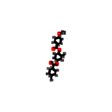 CCOc1ccc(C(=O)Oc2ccc(OC(=O)c3ccc(C)cc3)cc2C)cc1